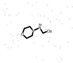 N#CCNN1CCOCC1